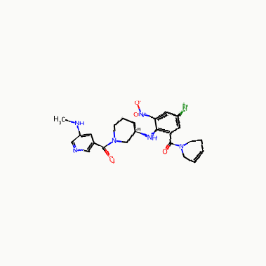 CNc1cncc(C(=O)N2CCC[C@@H](Nc3c(C(=O)N4CC=CCC4)cc(Br)cc3[N+](=O)[O-])C2)c1